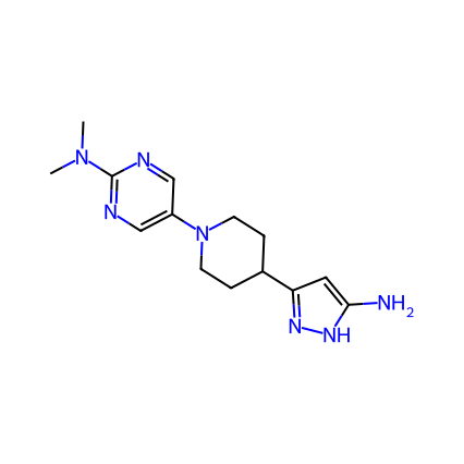 CN(C)c1ncc(N2CCC(c3cc(N)[nH]n3)CC2)cn1